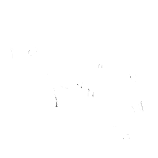 O=C1c2c(O)c(=O)ccn2N2CN1CCCCCCOc1c(F)cccc1[C@@H]2c1ccccc1